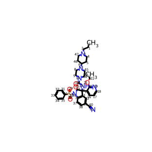 CCCN1CCC(N2CCN(C(=O)NC3(c4cccnc4OCC)C(=O)N(S(=O)(=O)c4ccccc4)c4ccc(C#N)cc43)CC2)CC1